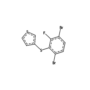 Fc1c(Br)ccc(Br)c1Sc1ccsc1